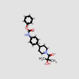 CC(C)(O)C(=O)N1CCC(c2ccc(NC(=O)Oc3ccccc3)cc2)CC1